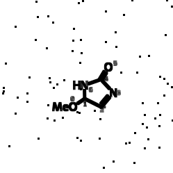 COC1[C]=NC(=O)N1